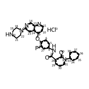 Cl.O=C(Nc1ccc(Oc2ccnc3cnc(N4CCNCC4)cc23)c(F)c1)c1cccn(-c2ccccc2)c1=O